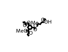 C=CC(=O)N(OC)C1CC(C(=O)OCCCCCP(C)(=O)O)CC(N(OC)C(=O)C=C)C1